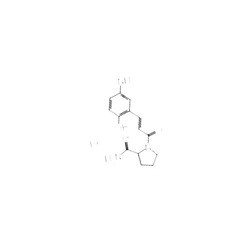 Cl.NC(=O)C1CCCN1C(=O)/C=C/c1cc(N)ccc1O